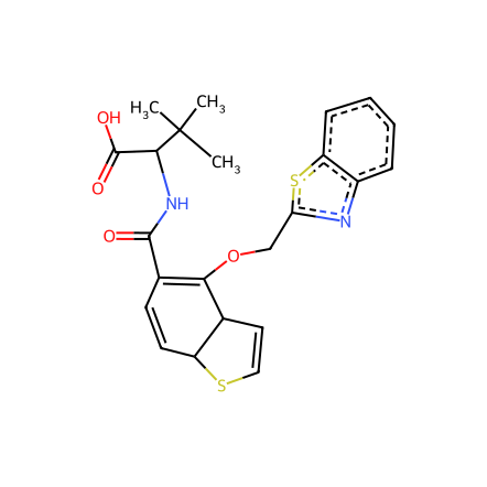 CC(C)(C)C(NC(=O)C1=C(OCc2nc3ccccc3s2)C2C=CSC2C=C1)C(=O)O